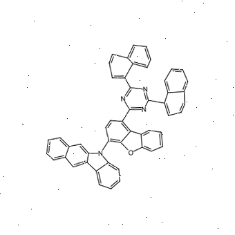 c1ccc2cc3c(cc2c1)c1ccccc1n3-c1ccc(-c2nc(-c3cccc4ccccc34)nc(-c3cccc4ccccc34)n2)c2c1oc1ccccc12